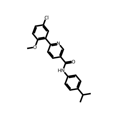 COc1ccc(Cl)cc1-c1ccc(C(=O)Nc2ccc(C(C)C)cc2)cn1